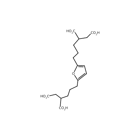 O=C(O)CC(CCCc1ccc(CCCC(CC(=O)O)C(=O)O)o1)C(=O)O